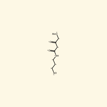 COCC(=O)CC(=O)NCCCN=O